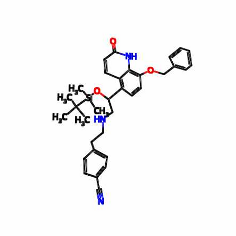 CC(C)(C)[Si](C)(C)OC(CNCCc1ccc(C#N)cc1)c1ccc(OCc2ccccc2)c2[nH]c(=O)ccc12